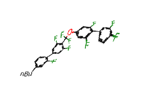 CCCCc1ccc(-c2cc(F)c(C(F)(F)Oc3cc(F)c(-c4ccc(F)c(F)c4)c(F)c3)c(F)c2)c(F)c1